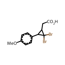 COc1ccc(C2C(CC(=O)O)C2(Br)Br)cc1